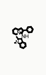 CC1C(Nc2c(-c3ccccc3)cc3ccccn23)c2ccccc2N1C